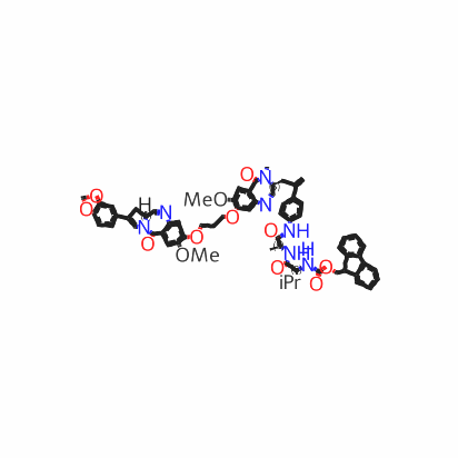 C=C(C[C@H]1C=Nc2cc(OCCCOc3cc4c(cc3OC)C(=O)N3C=C(c5ccc6c(c5)OCO6)C[C@H]3C=N4)c(OC)cc2C(=O)N1C)c1ccc(NC(=O)[C@H](C)NC(=O)[C@@H](NC(=O)OCC2c3ccccc3-c3ccccc32)C(C)C)cc1